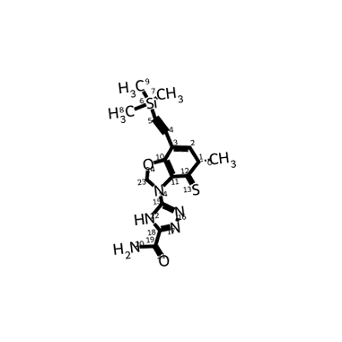 C[C@H]1C=C(C#C[Si](C)(C)C)C2=C(C1=S)N(c1nnc(C(N)=O)[nH]1)CO2